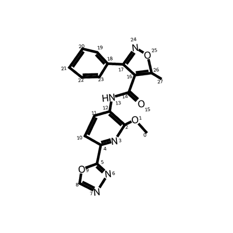 COc1nc(-c2nnco2)ccc1NC(=O)c1c(-c2ccccc2)noc1C